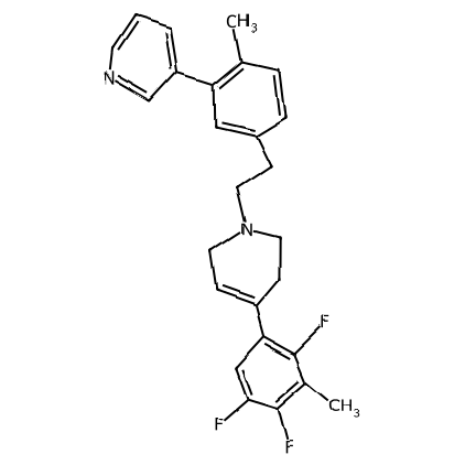 Cc1ccc(CCN2CC=C(c3cc(F)c(F)c(C)c3F)CC2)cc1-c1cccnc1